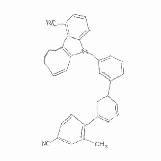 Cc1cc(C#N)ccc1C1=CC=CC(c2cccc(-n3c4c(c5c(C#N)cccc53)CCC=C4)c2)C1